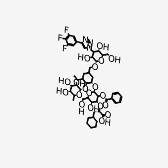 CCC1CC(CO[C@H]2OC(CO)[C@@H](O)C(n3cc(-c4cc(F)c(F)c(F)c4)nn3)C2O)C[C@@H](O[C@@H]2OC(CO)[C@H](O)C(O[C@@H](CC3CCCCC3)C(=O)O)C2OC(=O)c2ccccc2)C1O[C@@H]1OC(C)[C@@H](O)C(O)C1O